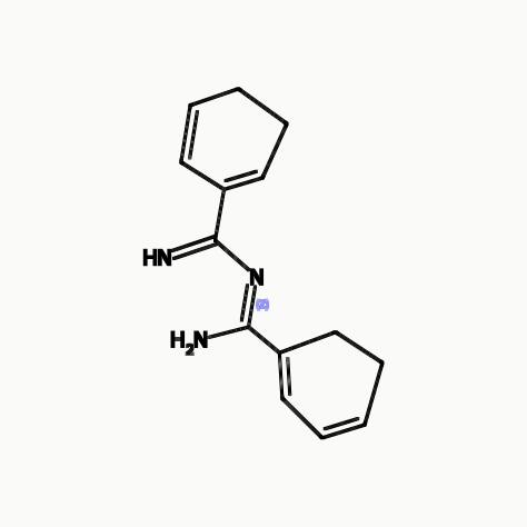 N=C(/N=C(\N)C1=CC=CCC1)C1=CCCC=C1